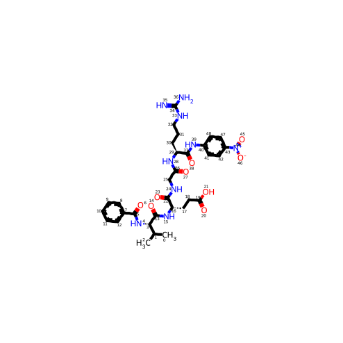 CC(C)[C@H](NC(=O)c1ccccc1)C(=O)N[C@@H](CCC(=O)O)C(=O)NCC(=O)N[C@@H](CCCNC(=N)N)C(=O)Nc1ccc([N+](=O)[O-])cc1